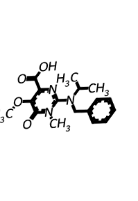 COc1c(C(=O)O)nc(N(Cc2ccccc2)C(C)C)n(C)c1=O